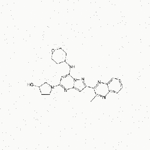 Cc1nc2ccccc2nc1-c1cc2nc(N3CCC(O)C3)cc(NC3CCOCC3)n2n1